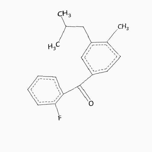 Cc1ccc(C(=O)c2ccccc2F)cc1CC(C)C